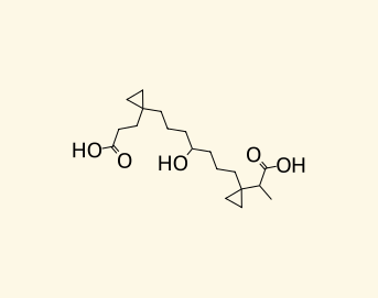 CC(C(=O)O)C1(CCCC(O)CCCC2(CCC(=O)O)CC2)CC1